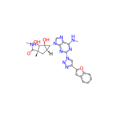 CNC(=O)[C@@]1(C)C[C@H]2[C@@H](n3cnc4c(NC)nc(-n5cc(-c6cc7ccccc7o6)nn5)nc43)[C@@]2(O)[C@@H]1O